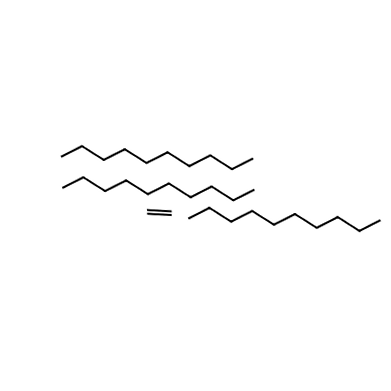 C=C.CCCCCCCCCC.CCCCCCCCCC.CCCCCCCCCC